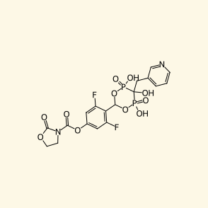 O=C1OCCN1C(=O)Oc1cc(F)c(C2OP(=O)(O)C(O)(Cc3cccnc3)P(=O)(O)O2)c(F)c1